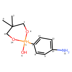 CC1(C)CO[PH](O)(c2ccc(N)cc2)OC1